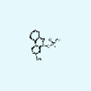 CCCc1ccc2c(c1)c(OP(C)(=O)O)nc1ccccc12